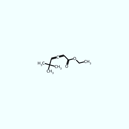 CCOC(=O)C=C=CC(C)(C)C